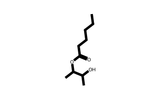 CCCCCC(=O)OC(C)C(C)O